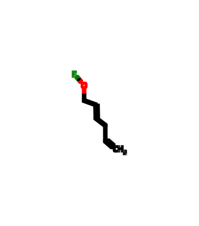 C=CCC=CCOF